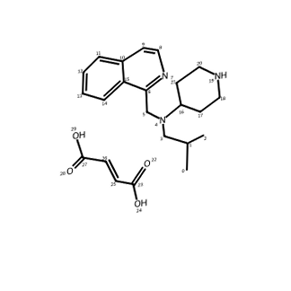 CC(C)CN(Cc1nccc2ccccc12)C1CCNCC1.O=C(O)/C=C/C(=O)O